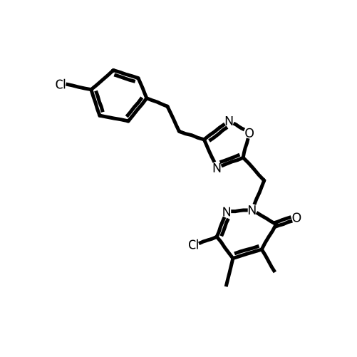 Cc1c(Cl)nn(Cc2nc(CCc3ccc(Cl)cc3)no2)c(=O)c1C